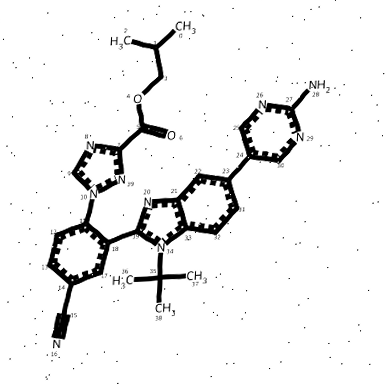 CC(C)COC(=O)c1ncn(-c2ccc(C#N)cc2-c2nc3cc(-c4cnc(N)nc4)ccc3n2C(C)(C)C)n1